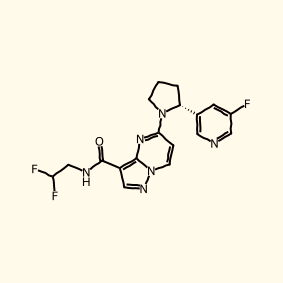 O=C(NCC(F)F)c1cnn2ccc(N3CCC[C@@H]3c3cncc(F)c3)nc12